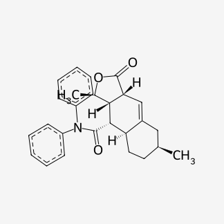 C[C@H]1CC[C@@H]2C(=C[C@H]3C(=O)O[C@H](C)[C@H]3[C@H]2C(=O)N(c2ccccc2)c2ccccc2)C1